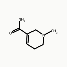 CN1CCC=C(C(N)=O)C1